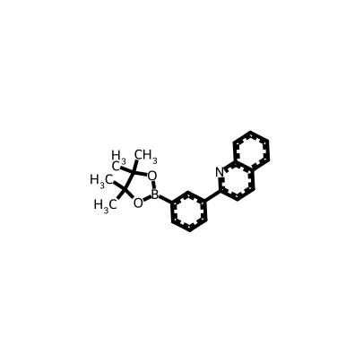 CC1(C)OB(c2cccc(-c3ccc4ccccc4n3)c2)OC1(C)C